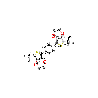 C[Si](C)(C)c1sc(-c2ccc(-c3sc([Si](C)(C)C)c4c3OCCO4)cc2)c2c1OCCO2